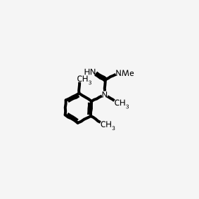 CNC(=N)N(C)c1c(C)cccc1C